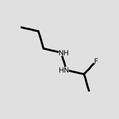 CCCNNC(C)F